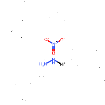 N[NH][Ni+].O=[N+]([O-])[O-]